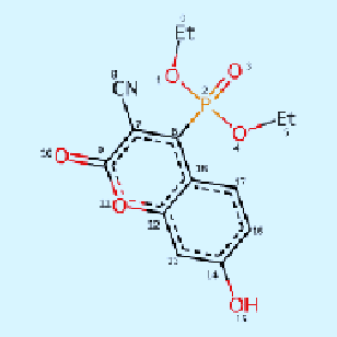 CCOP(=O)(OCC)c1c(C#N)c(=O)oc2cc(O)ccc12